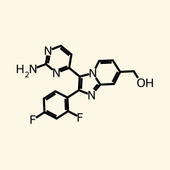 Nc1nccc(-c2c(-c3ccc(F)cc3F)nc3cc(CO)ccn23)n1